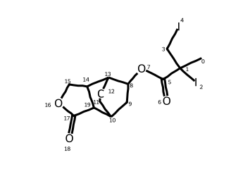 CC(I)(CI)C(=O)OC1CC2CCC1C1COC(=O)C21